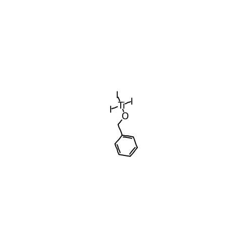 [I][Ti]([I])([I])[O]Cc1ccccc1